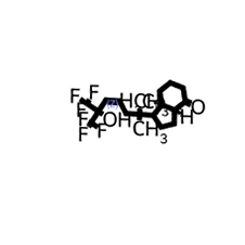 CC(C)(C/C=C\C(O)(C(F)(F)F)C(F)(F)F)C1CC[C@H]2C(=O)CCC[C@]12C